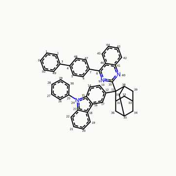 c1ccc(-c2ccc(-c3nc(C4(c5ccc6c(c5)c5ccccc5n6-c5ccccc5)C5CC6CC(C5)CC4C6)nc4ccccc34)cc2)cc1